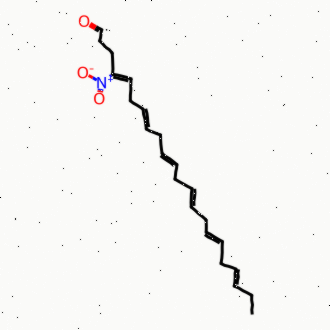 CC/C=C/C/C=C/C/C=C/C/C=C/C/C=C/C/C=C(/CC[C]=O)[N+](=O)[O-]